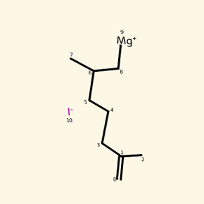 C=C(C)CCCC(C)[CH2][Mg+].[I-]